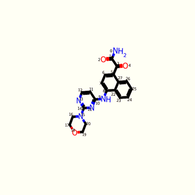 NC(=O)C(=O)c1ccc(Nc2ccnc(N3CCOCC3)n2)c2ccccc12